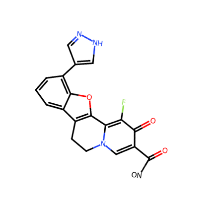 O=NC(=O)c1cn2c(c(F)c1=O)-c1oc3c(-c4cn[nH]c4)cccc3c1CC2